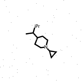 CC(C)C(C)C1CCN(C2CC2)CC1